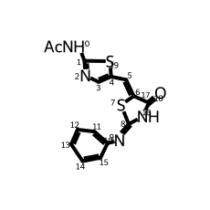 CC(=O)Nc1ncc(/C=C2\S/C(=N\c3ccccc3)NC2=O)s1